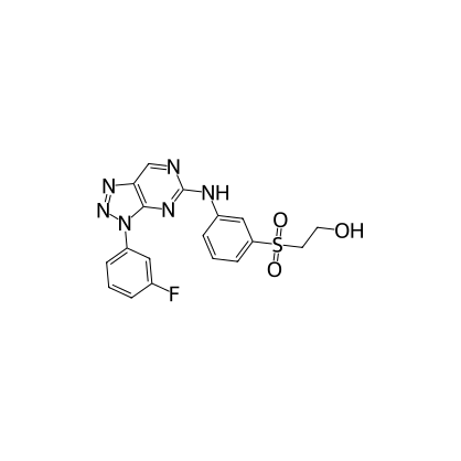 O=S(=O)(CCO)c1cccc(Nc2ncc3nnn(-c4cccc(F)c4)c3n2)c1